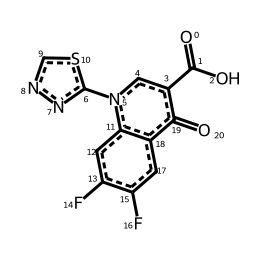 O=C(O)c1cn(-c2nncs2)c2cc(F)c(F)cc2c1=O